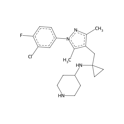 Cc1nn(-c2ccc(F)c(Cl)c2)c(C)c1CC1(NC2CCNCC2)CC1